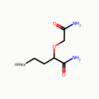 CCCCCCCCC(OCC(N)=O)C(N)=O